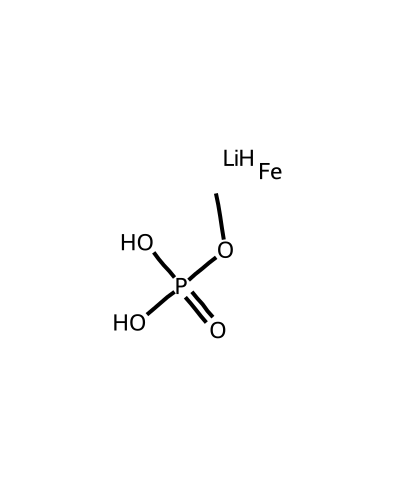 COP(=O)(O)O.[Fe].[LiH]